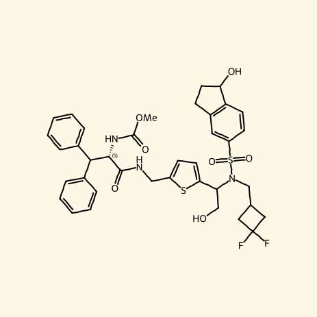 COC(=O)N[C@H](C(=O)NCc1ccc(C(CO)N(CC2CC(F)(F)C2)S(=O)(=O)c2ccc3c(c2)CCC3O)s1)C(c1ccccc1)c1ccccc1